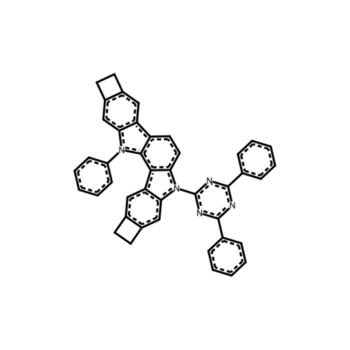 c1ccc(-c2nc(-c3ccccc3)nc(-n3c4cc5c(cc4c4c3ccc3c6cc7c(cc6n(-c6ccccc6)c34)CC7)CC5)n2)cc1